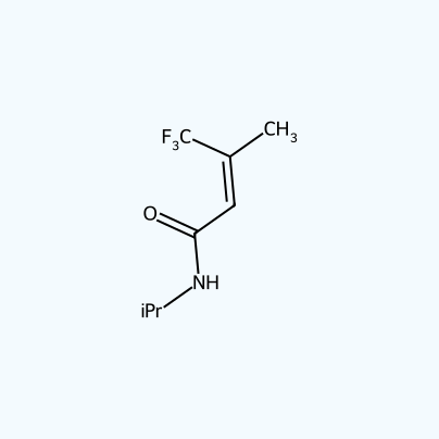 C/C(=C/C(=O)NC(C)C)C(F)(F)F